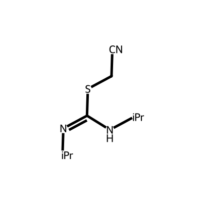 CC(C)/N=C(\NC(C)C)SCC#N